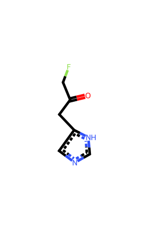 O=C(CF)Cc1cnc[nH]1